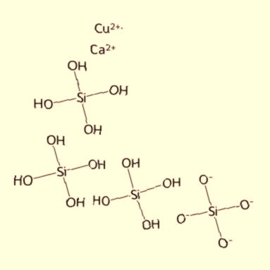 O[Si](O)(O)O.O[Si](O)(O)O.O[Si](O)(O)O.[Ca+2].[Cu+2].[O-][Si]([O-])([O-])[O-]